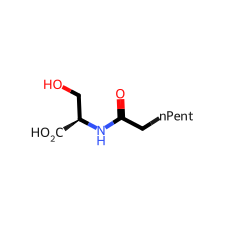 CCCCCCC(=O)N[C@H](CO)C(=O)O